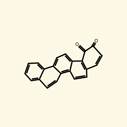 O=C1C=Cc2ccc3c(ccc4c5ccccc5ccc34)c2C1=O